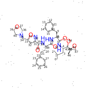 CC(C)CC(NC(=O)[C@H](Cc1ccccc1)NC(=O)[C@H](CCc1ccccc1)NC(=O)c1cc(CN2CCOCC2)on1)C(=O)[C@@]1(C)CO1